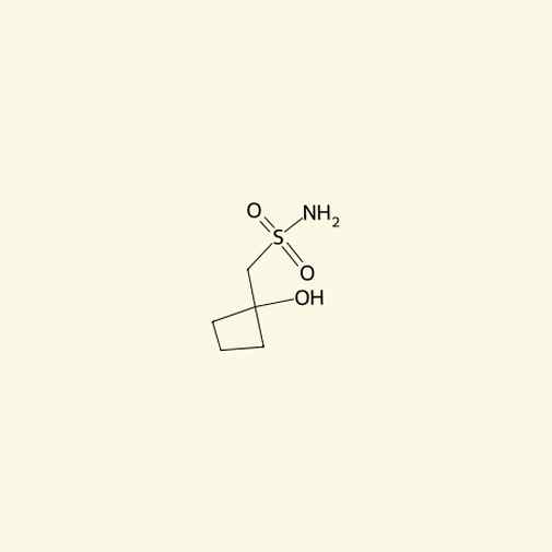 NS(=O)(=O)CC1(O)CCC1